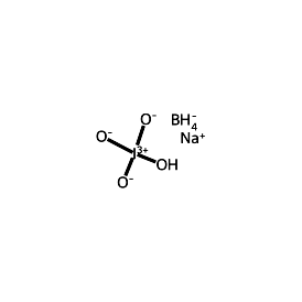 [BH4-].[Na+].[O-][I+3]([O-])([O-])O